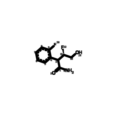 NC(=O)[C](c1ccccc1F)[C@H](F)CO